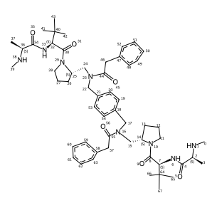 CN[C@@H](C)C(=O)N[C@H](C(=O)N1CCC[C@H]1CN(Cc1ccc(CN(C[C@@H]2CCCN2C(=O)[C@@H](NC(=O)[C@H](C)NC)C(C)(C)C)C(=O)Cc2ccccc2)cc1)C(=O)Cc1ccccc1)C(C)(C)C